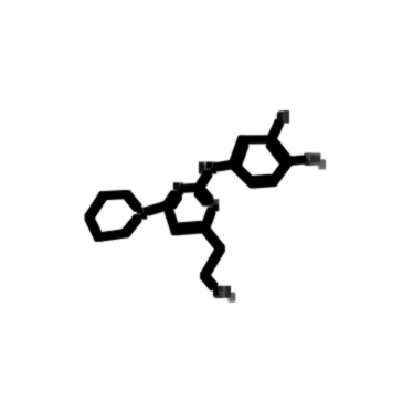 CCCc1cc(N2CCCCC2)nc(Nc2ccc(C)c(Cl)c2)n1